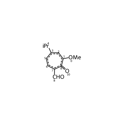 COc1cc(C(C)C)ccc(C=O)c1=O